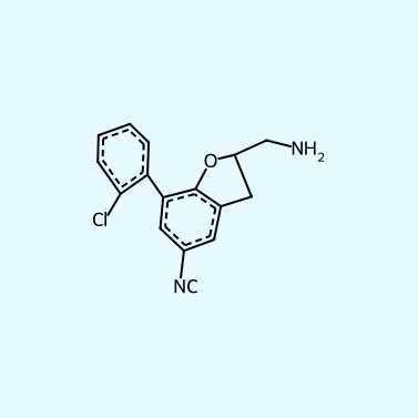 [C-]#[N+]c1cc2c(c(-c3ccccc3Cl)c1)OC(CN)C2